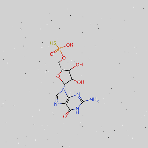 Nc1nc2c(ncn2[C@@H]2O[C@H](COP(=O)(O)S)C(O)C2O)c(=O)[nH]1